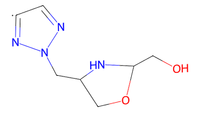 OCC1NC(Cn2n[c]cn2)CO1